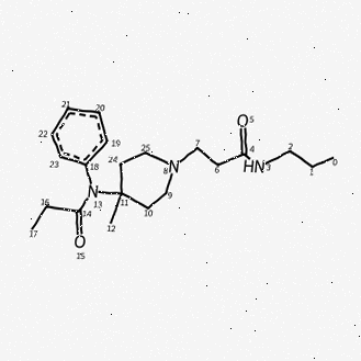 CCCNC(=O)CCN1CCC(C)(N(C(=O)CC)c2ccccc2)CC1